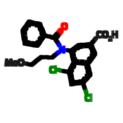 COCCCN(C(=O)c1ccccc1)c1cc(C(=O)O)cc2cc(Cl)cc(Cl)c12